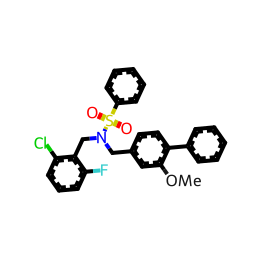 COc1cc(CN(Cc2c(F)cccc2Cl)S(=O)(=O)c2ccccc2)ccc1-c1ccccc1